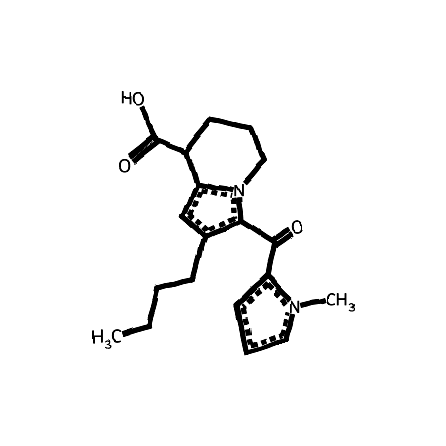 CCCCc1cc2n(c1C(=O)c1cccn1C)CCCC2C(=O)O